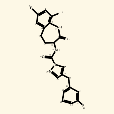 O=C1Nc2c(F)cc(F)cc2CCC1NC(=O)n1cc(Cc2cccc(F)c2)cn1